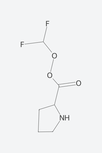 O=C(OOC(F)F)C1CCCN1